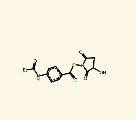 CCC(=O)Nc1ccc(C(=O)ON2C(=O)CC(O)C2=O)cc1